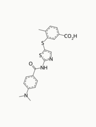 Cc1ccc(C(=O)O)cc1Sc1cnc(NC(=O)c2ccc(N(C)C)cc2)s1